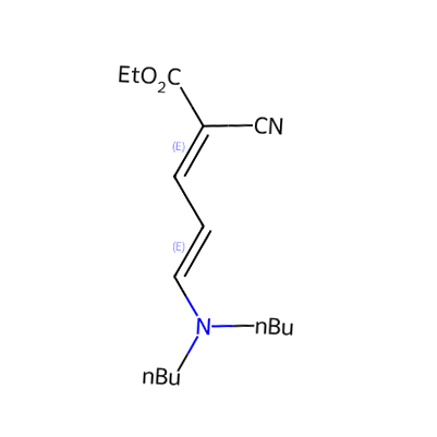 CCCCN(/C=C/C=C(\C#N)C(=O)OCC)CCCC